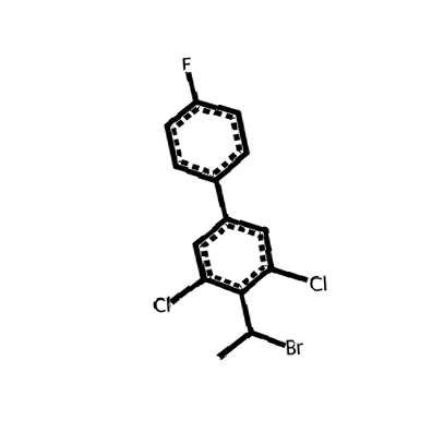 CC(Br)c1c(Cl)cc(-c2ccc(F)cc2)cc1Cl